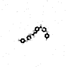 O=C(Nc1ccc(Oc2ccc(F)cc2)nc1)c1cc2cc(C(=O)N3CCC(Oc4ccc(F)cc4)CC3)ccc2o1